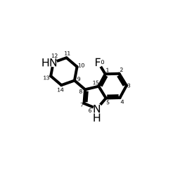 Fc1cccc2[nH]cc(C3CCNCC3)c12